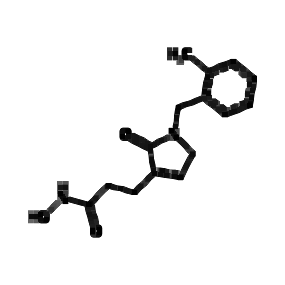 Cc1ccccc1CN1CC=C(CCC(=O)NO)C1=O